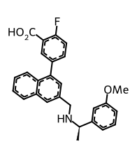 COc1cccc([C@@H](C)NCc2cc(-c3ccc(F)c(C(=O)O)c3)c3ccccc3c2)c1